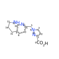 O=C(O)c1ccn(Cc2ccc3c(n2)NCCC3)n1